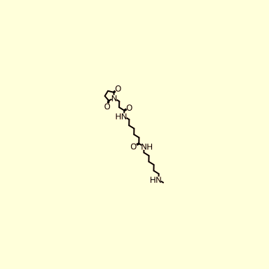 CNCCCCCCNC(=O)CCCCCNC(=O)CCN1C(=O)CCC1=O